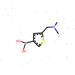 CN(C)Cc1cc(B(O)O)cs1